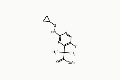 COC(=O)C(C)(C)c1nc(NSC2CC2)ncc1F